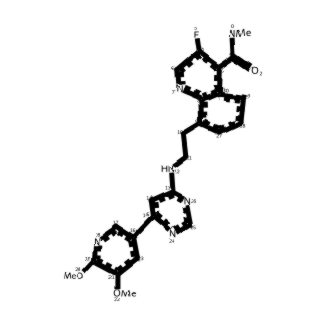 CNC(=O)c1c(F)cnc2c(CCNc3cc(-c4cnc(OC)c(OC)c4)ncn3)cccc12